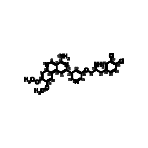 COc1cc2ncc3c(N)nc(-c4cncc(OC[C@@H](N)Cc5ccc(Cl)c(Cl)c5)c4)cc3c2cc1OC